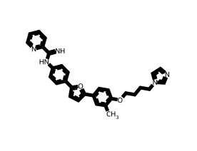 Cc1cc(-c2ccc(-c3ccc(NC(=N)c4ccccn4)cc3)o2)ccc1OCCCCn1ccnc1